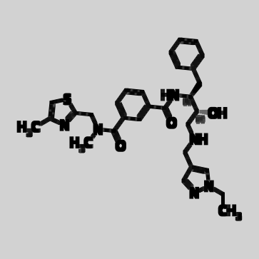 CCn1cc(CNC[C@@H](O)[C@H](Cc2ccccc2)NC(=O)c2cccc(C(=O)N(C)Cc3nc(C)cs3)c2)cn1